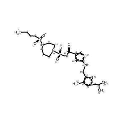 CCCCS(=O)(=O)N1CCCN(S(=O)(=O)NC(=O)c2coc(NCc3nn(C(C)C)cc3C)n2)CC1